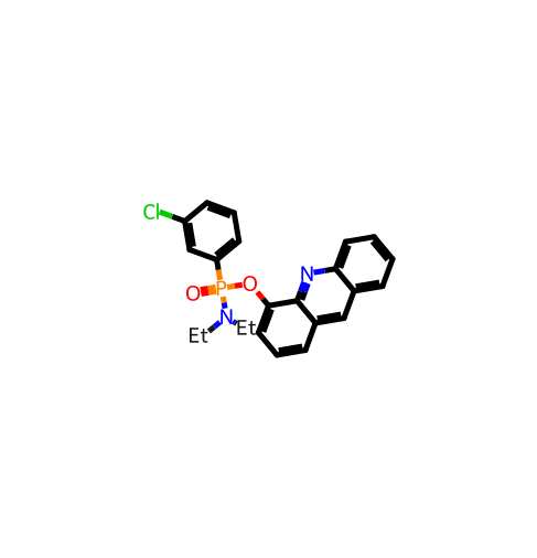 CCN(CC)P(=O)(Oc1cccc2cc3ccccc3nc12)c1cccc(Cl)c1